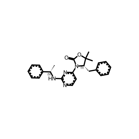 C[C@H](Nc1nccc(N2C(=O)OC(C)(C)[C@@H]2Cc2ccccc2)n1)c1ccccc1